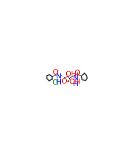 O=C(NC[C@]1(O)CO[C@H](CNC(=O)c2ccccc2Cl)[C@H]1O)c1ccccc1